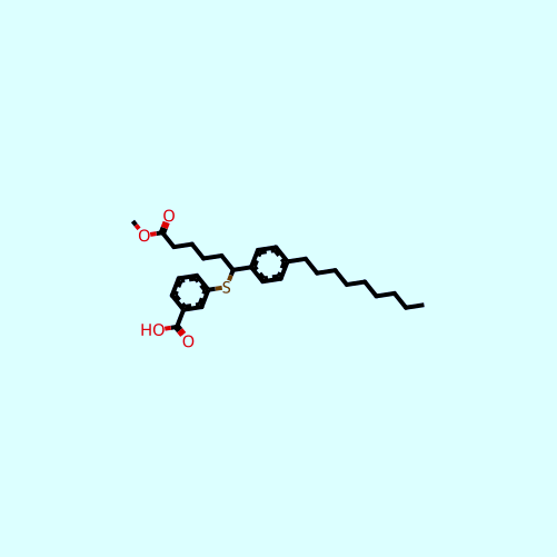 CCCCCCCCCc1ccc(C(CCCCC(=O)OC)Sc2cccc(C(=O)O)c2)cc1